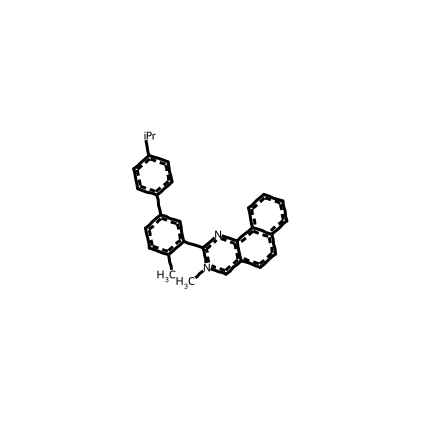 Cc1ccc(-c2ccc(C(C)C)cc2)cc1-c1nc2c(ccc3ccccc32)c[n+]1C